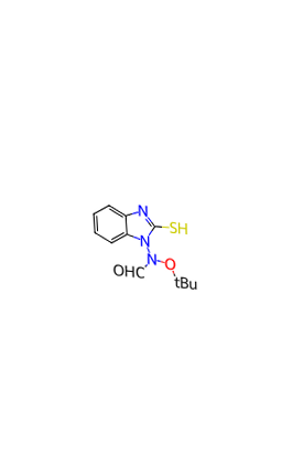 CC(C)(C)ON(C=O)n1c(S)nc2ccccc21